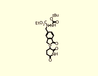 CCOC(=O)N(Cc1ccc2c(c1)CN(C1CCC(=O)NC1=O)C2=O)NC(=O)OC(C)(C)C